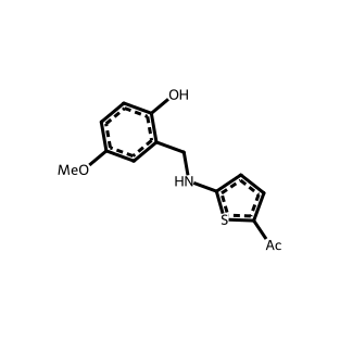 COc1ccc(O)c(CNc2ccc(C(C)=O)s2)c1